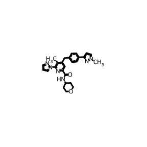 Cc1c(Cc2ccc(-c3ccn(C)n3)cc2)cc(C(=O)NC2CCOCC2)nc1-n1cccn1